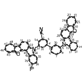 N#Cc1cc(-c2cccc(-n3c4ccccc4c4c5oc6ccccc6c5ccc43)c2)cc(-n2c3ccc(F)cc3c3c4oc5ccccc5c4ccc32)c1